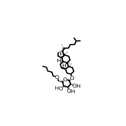 CCCCCOC[C@H]1O[C@@H](OC2CC[C@@]3(C)C(=CC[C@H]4[C@@H]5CC[C@H]([C@H](C)CCCC(C)C)[C@@]5(C)CC[C@@H]43)C2)[C@H](O)[C@@H](O)[C@H]1O